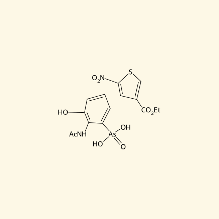 CC(=O)Nc1c(O)cccc1[As](=O)(O)O.CCOC(=O)c1csc([N+](=O)[O-])c1